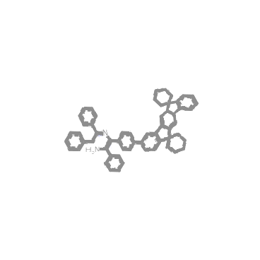 N/C(=C(\N=C(/Cc1ccccc1)c1ccccc1)c1ccc(-c2ccc3c(c2)C2=CC4C(C=C2C32CCCCC2)c2ccccc2C42CCCCC2)cc1)c1ccccc1